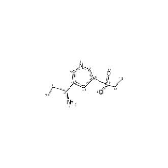 CC[C@H](N)c1cncc(S(=O)(=O)CC)c1